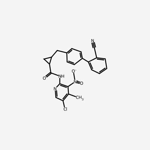 Cc1c(Cl)cnc(NC(=O)C2CC2Cc2ccc(-c3ccccc3C#N)cc2)c1[N+](=O)[O-]